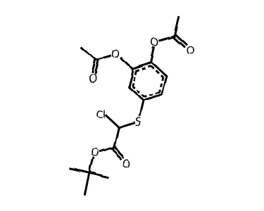 CC(=O)Oc1ccc(SC(Cl)C(=O)OC(C)(C)C)cc1OC(C)=O